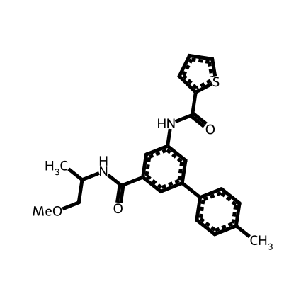 COCC(C)NC(=O)c1cc(NC(=O)c2cccs2)cc(-c2ccc(C)cc2)c1